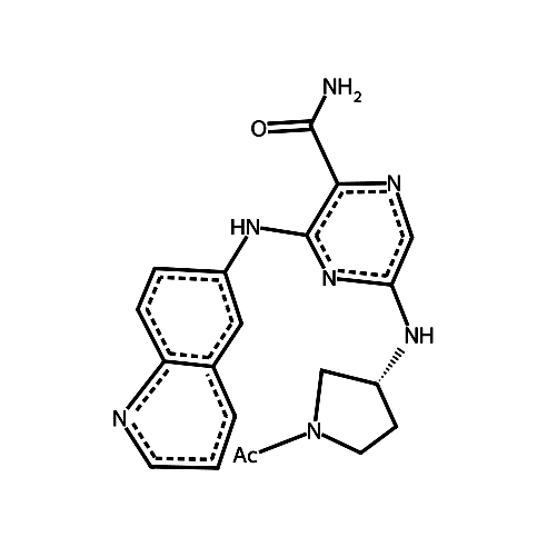 CC(=O)N1CC[C@@H](Nc2cnc(C(N)=O)c(Nc3ccc4ncccc4c3)n2)C1